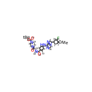 COc1ccc(-c2cnc3c(Nc4ccc(C(=O)N(C)CC(=O)N5CCN(C(=O)OC(C)(C)C)CC5)c(C)c4)nccn23)cc1F